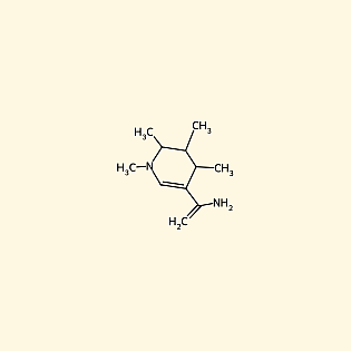 C=C(N)C1=CN(C)C(C)C(C)C1C